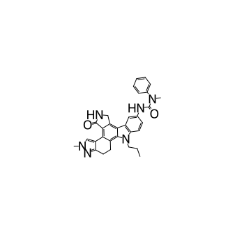 CCCn1c2ccc(NC(=O)N(C)c3ccccc3)cc2c2c3c(c4c(c21)CCc1nn(C)cc1-4)C(=O)NC3